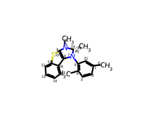 Cc1ccc(C)c(N2c3c(sc4ccccc34)N(C)[C@@H]2C)c1